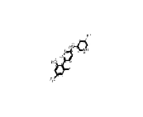 Cc1cc(C(F)(F)F)cc(O)c1-c1ccc(N[C@@H]2CNC[C@@H](F)C2)nn1